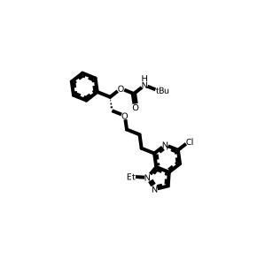 CCn1ncc2cc(Cl)nc(CCCOC[C@@H](OC(=O)NC(C)(C)C)c3ccccc3)c21